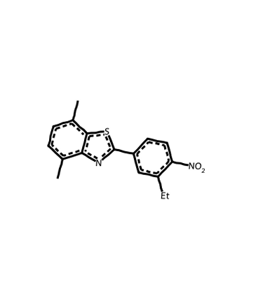 CCc1cc(-c2nc3c(C)ccc(C)c3s2)ccc1[N+](=O)[O-]